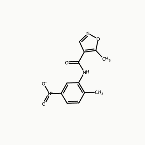 Cc1ccc([N+](=O)[O-])cc1NC(=O)c1cnoc1C